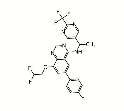 CC(Nc1ncnc2c(OCC(F)F)cc(-c3ccc(F)cc3)cc12)c1cnc(C(F)(F)F)nc1